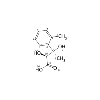 Cc1ccccc1[C@@](C)(O)[C@H](O)C(=O)O